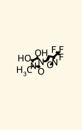 CN1C(=O)N(c2cc(C(F)(F)F)no2)C(O)C1O